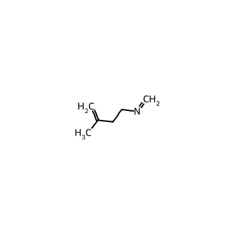 C=NCCC(=C)C